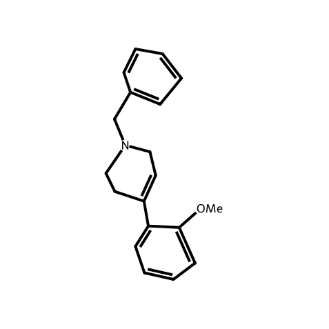 COc1ccccc1C1=CCN(Cc2ccccc2)CC1